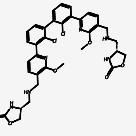 COc1nc(-c2cccc(-c3cccc(-c4ccc(CNC[C@H]5COC(=O)N5)c(OC)n4)c3Cl)c2Cl)ccc1CNC[C@@H]1COC(=O)N1